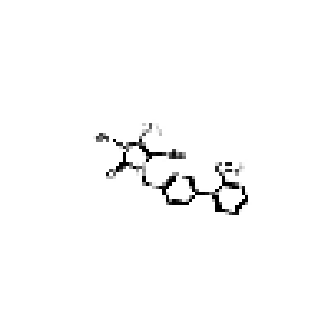 CCCCc1c(C)n(C(C)(C)C)c(=O)n1Cc1ccc(-c2ccccc2C(=O)O)cc1